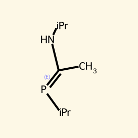 C/C(NC(C)C)=P\C(C)C